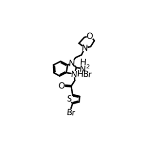 Br.NC1N(CCN2CCOCC2)c2ccccc2N1CC(=O)c1ccc(Br)s1